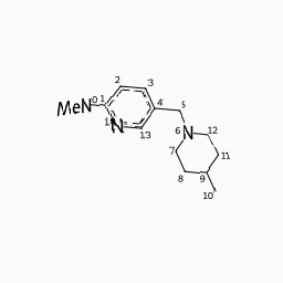 CNc1ccc(CN2CCC(C)CC2)cn1